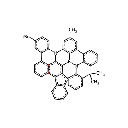 Cc1cc2c3c(c1)N(c1ccc(C(C)(C)C)cc1-c1ccccc1)c1ccc4c(sc5ccccc54)c1B3N1c3ccccc3C(C)(C)c3cccc-2c31